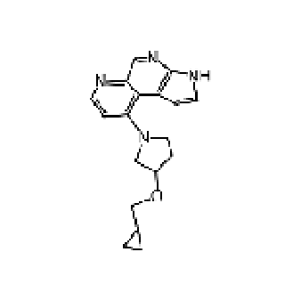 c1cc(N2CCC(OCC3CC3)C2)c2c(cnc3[nH]ccc32)n1